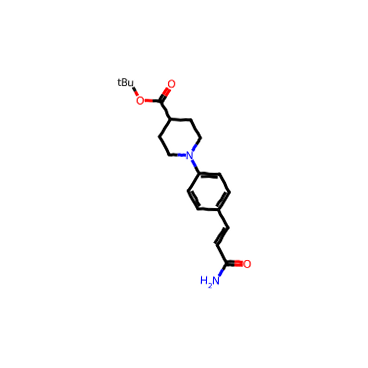 CC(C)(C)OC(=O)C1CCN(c2ccc(C=CC(N)=O)cc2)CC1